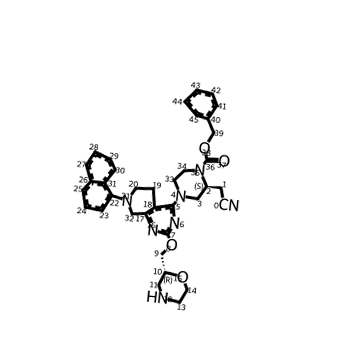 N#CC[C@H]1CN(c2nc(OC[C@H]3CNCCO3)nc3c2CCN(c2cccc4ccccc24)C3)CCN1C(=O)OCc1ccccc1